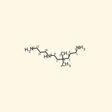 CC(C)(CCCN)CCNCCCN